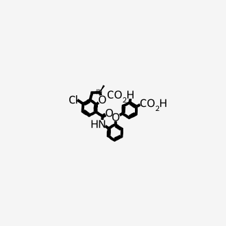 C[C@@H]1Cc2c(Cl)ccc(C(=O)Nc3ccccc3Oc3ccc(C(=O)O)c(C(=O)O)c3)c2O1